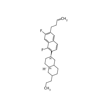 C=CCCc1cc2ccc([C@@H]3CC[C@@H]4CC(CCC)CCC4C3)c(F)c2cc1F